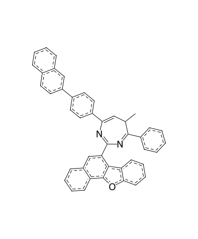 CC1C=C(c2ccc(-c3ccc4ccccc4c3)cc2)N=C(c2cc3ccccc3c3oc4ccccc4c23)N=C1c1ccccc1